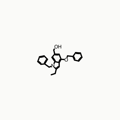 CCc1cc2c(OCc3ccccc3)cc(CO)cc2n1Cc1ccccc1